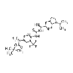 CC(C)N1CCc2cc(C(=N)NC(=S)Nc3ncc(N(C)C(=O)OC(C)(C)C)cc3C(F)(F)F)ncc21